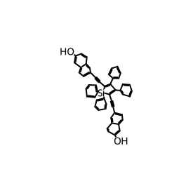 Oc1ccc2cc(C#CC3=C(c4ccccc4)C(c4ccccc4)=C(C#Cc4ccc5cc(O)ccc5c4)[Si]3(c3ccccc3)c3ccccc3)ccc2c1